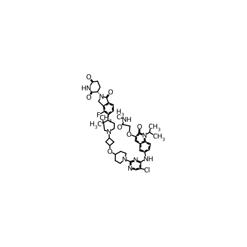 CNC(=O)COc1cc2cc(Nc3nc(N4CCC(OC5CC(N6CC[C@H](c7ccc8c(c7F)CN([C@H]7CCC(=O)NC7=O)C8=O)C(C)(C)C6)C5)CC4)ncc3Cl)ccc2n(C(C)C)c1=O